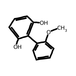 COc1ccccc1-c1c(O)cccc1O